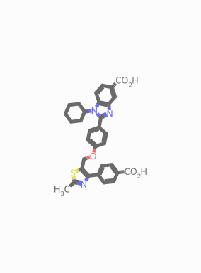 Cc1nc(-c2ccc(C(=O)O)cc2)c(COc2ccc(-c3nc4cc(C(=O)O)ccc4n3C3CCCCC3)cc2)s1